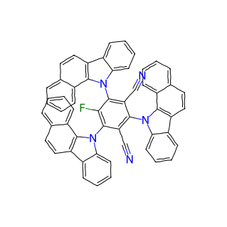 N#Cc1c(-n2c3ccccc3c3ccc4ccccc4c32)c(F)c(-n2c3ccccc3c3ccc4ccccc4c32)c(C#N)c1-n1c2ccccc2c2ccc3ccccc3c21